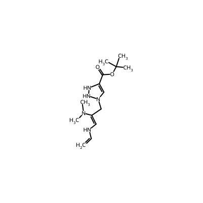 C=CN/C=C(/CN1C=C(C(=O)OC(C)(C)C)NN1)N(C)C